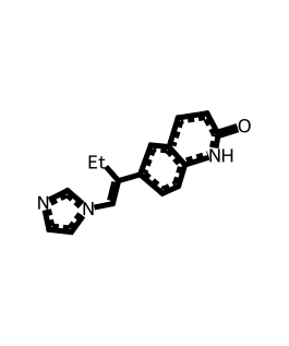 CC/C(=C\n1ccnc1)c1ccc2[nH]c(=O)ccc2c1